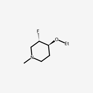 CCO[C@H]1CCN(C)C[C@@H]1F